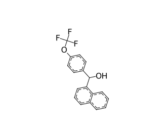 OC(c1ccc(OC(F)(F)F)cc1)c1cccc2ccccc12